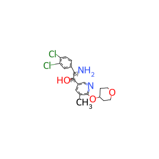 Cc1cc([C@@H](O)[C@@H](N)c2ccc(Cl)c(Cl)c2)cnc1OC1CCOCC1